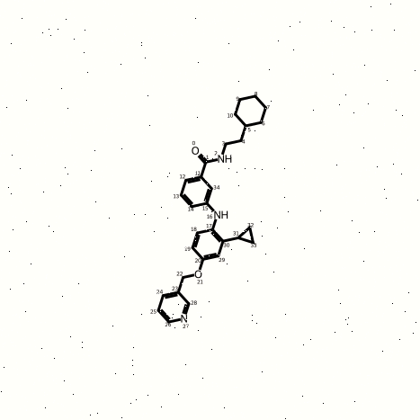 O=C(NCCC1CCCCC1)c1cccc(Nc2ccc(OCc3cccnc3)cc2C2CC2)c1